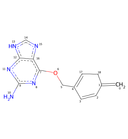 C=C1C=CC(COc2nc(N)nc3[nH]cnc23)=CC1